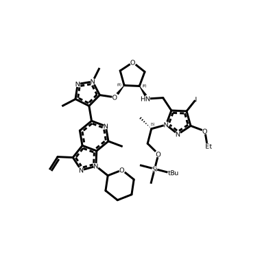 C=Cc1nn(C2CCCCO2)c2c(C)nc(-c3c(C)nn(C)c3O[C@H]3COC[C@H]3NCc3c(I)c(OCC)nn3[C@@H](C)CO[Si](C)(C)C(C)(C)C)cc12